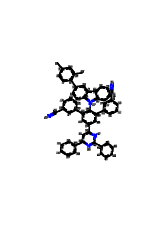 Cc1ccc(-c2ccc3c(c2)c2ccccc2n3-c2c(-c3cccc(C#N)c3)cc(-c3cc(-c4ccccc4)nc(-c4ccccc4)n3)cc2-c2cccc(C#N)c2)c(C)c1